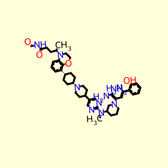 CC(CCC(=O)NC=O)N1CCOc2c1cccc2[C@H]1CC[C@@H](N2CCC(c3cnc(N(C)C4CCCN(C(/C=C(\N)c5ccccc5O)=C(N)N)C4)nc3)CC2)CC1